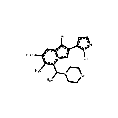 Cc1c(C(=O)O)cc2c(C(C)C)c(-c3ccnn3C)cn2c1C(C)N1CCNCC1